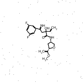 C=CC(O)(CC(=N)c1cc(F)cc(F)c1)C(=O)N[C@H]1CO[C@@H](C(=C)OC)C1